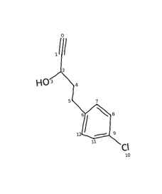 C#CC(O)CCc1ccc(Cl)cc1